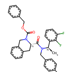 CC(=O)c1ccc(CN(C(=O)[C@@H]2Cc3ccccc3CN2C(=O)OCc2ccccc2)[C@H](C)c2cccc(F)c2F)cc1